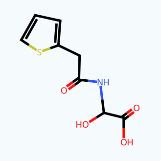 O=C(Cc1cccs1)NC(O)C(=O)O